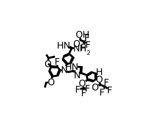 CCOc1cc(OC(C)C)c(F)c(N(Cc2nc(-c3ccccc3OC(F)(F)F)c[nH]2)c2ccc(C(=N)N)cc2)c1.O=C(O)C(F)(F)F.O=C(O)C(F)(F)F